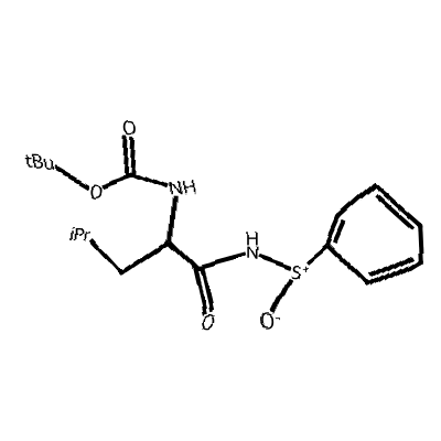 CC(C)CC(NC(=O)OC(C)(C)C)C(=O)N[S+]([O-])c1ccccc1